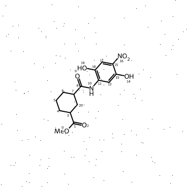 COC(=O)C1CCCC(C(=O)Nc2cc(O)c([N+](=O)[O-])cc2O)C1